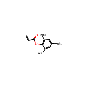 C=CC(=O)Oc1c(CCCC)cc(CCCC)cc1CCCC